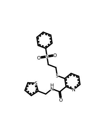 O=C(NCc1cccs1)c1ncccc1SCCS(=O)(=O)c1ccccc1